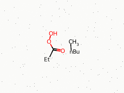 CCC(=O)OO.CCCCC